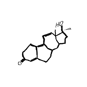 CC12C=CC3=C4CCC(=O)C=C4CCC3C1CC[C@]2(C)O